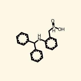 O=[PH](O)Cc1ccccc1NC(c1ccccc1)c1ccccc1